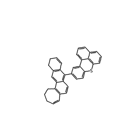 C1=Cc2ccc3c(-c4ccc5c(c4)-c4cccc6cccc(c46)S5)c4c(cc3c2CCC1)CCC=C4